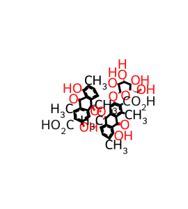 Cc1ccc2c(c1O)C(=O)c1c(cc(O)c(C(=O)O)c1C)[C@]2(C)OO[C@@]1(C)c2cc(O[C@H]3O[C@@H](CO)[C@@H](O)[C@@H](O)[C@@H]3O)c(C(=O)O)c(C)c2C(=O)c2c1ccc(C)c2O